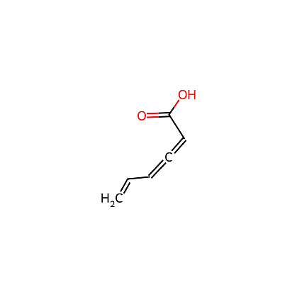 C=CC=C=CC(=O)O